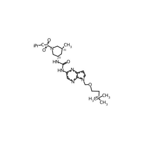 CC(C)CS(=O)(=O)N1C[C@@H](C)C[C@H](NC(=O)Nc2cnc3c(ccn3COCC[Si](C)(C)C)n2)C1